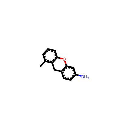 Cc1cccc2c1Cc1ccc(N)cc1O2